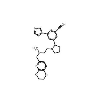 C#Cc1cc(C2CCCN2CCN(C)Cc2ccc3c(n2)OCCO3)nc(-n2ccnc2)n1